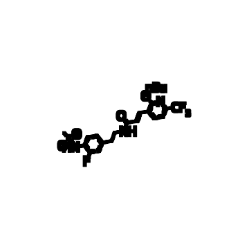 CCCCOc1nc(C(F)(F)F)ccc1C=CC(=O)NCCc1ccc(NS(C)(=O)=O)c(F)c1